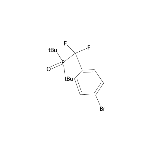 CC(C)(C)P(=O)(C(C)(C)C)C(F)(F)c1ccc(Br)cc1